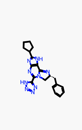 c1ccc(C[C@@H]2CN3C(c4nnn[nH]4)=Nc4nc(C5CCCC5)[nH]c4C3=N2)cc1